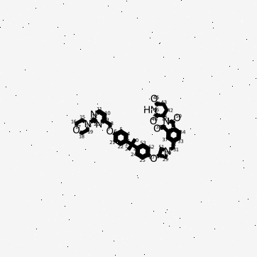 CC(C)(c1ccc(OCc2ccnc(N3CCOCC3)n2)cc1)c1ccc(OC2CN(Cc3ccc4c(c3)C(=O)N(C3CCC(=O)NC3=O)C4=O)C2)cc1